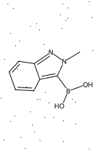 Cn1nc2ccccc2c1B(O)O